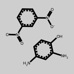 Nc1ccc(O)c(N)c1.O=[N+]([O-])c1cccc([N+](=O)[O-])c1